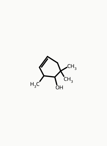 CC1C=CCC(C)(C)C1O